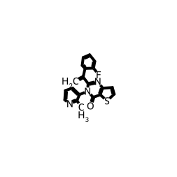 C=C(c1ccccc1F)c1nc2ccsc2c(=O)n1-c1cccnc1C